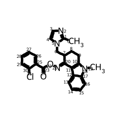 Cc1nccn1CC1CCc2c(c3ccccc3n2C)/C1=N/OC(=O)c1ccccc1Cl